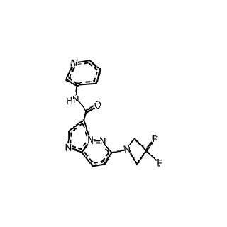 O=C(Nc1cccnc1)c1cnc2ccc(N3CC(F)(F)C3)nn12